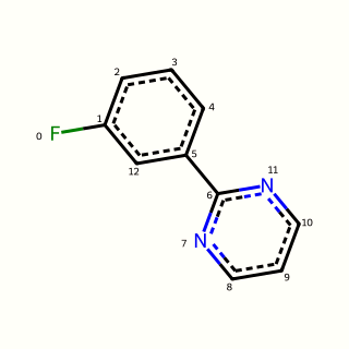 Fc1cccc(-c2ncccn2)c1